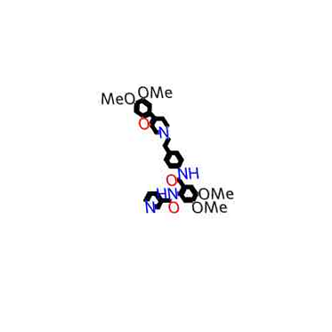 COc1cc(NC(=O)c2cccnc2)c(C(=O)Nc2ccc(CCN3CCc4c(oc5cc(OC)c(OC)cc45)C3)cc2)cc1OC